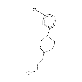 OCCCN1CCN(c2cccc(Cl)c2)CC1